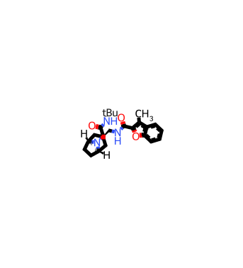 Cc1c(C(=O)NC[C@@H]2C[C@H]3CC[C@@H](C2)N3CC(=O)NC(C)(C)C)oc2ccccc12